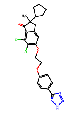 CC1(C2CCCC2)Cc2cc(OCCOc3ccc(-c4nn[nH]n4)cc3)c(Cl)c(Cl)c2C1=O